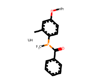 CCCOc1ccc(P(C(=O)c2ccccc2)C(F)(F)F)c(C)c1.[LiH]